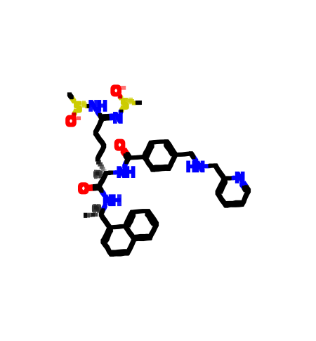 C[C@H](NC(=O)[C@H](CCCC(=N[S+](C)[O-])N[S+](C)[O-])NC(=O)c1ccc(CNCc2ccccn2)cc1)c1cccc2ccccc12